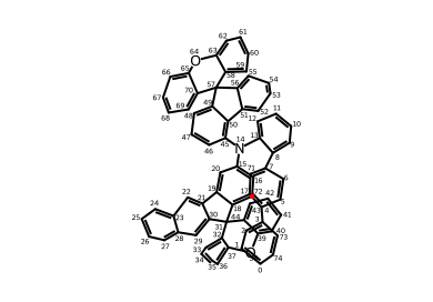 c1ccc(-c2ccc(-c3ccccc3N(c3ccc4c(c3)-c3cc5ccccc5cc3C43c4ccccc4Oc4ccccc43)c3cccc4c3-c3ccccc3C43c4ccccc4Oc4ccccc43)cc2)cc1